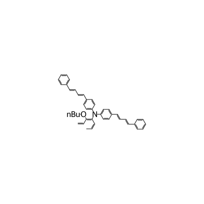 C=C/C(OCCCC)=C(\C=C/C)N(c1ccc(/C=C/C=C/c2ccccc2)cc1)c1ccc(/C=C/C=C/c2ccccc2)cc1